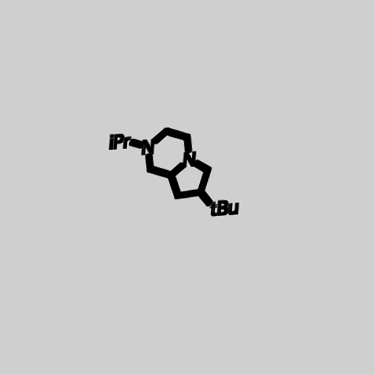 CC(C)N1CCN2CC(C(C)(C)C)CC2C1